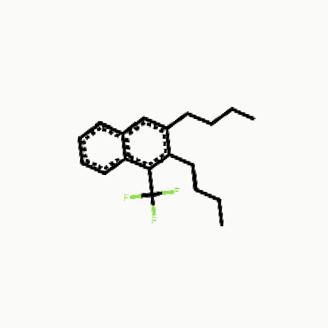 CCCCc1cc2ccccc2c(C(F)(F)F)c1CCCC